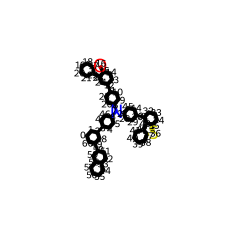 c1cc(-c2ccc(N(c3ccc(-c4ccc5oc6ccccc6c5c4)cc3)c3ccc(-c4cccc5sc6ccccc6c45)cc3)cc2)cc(-c2ccc3ccccc3c2)c1